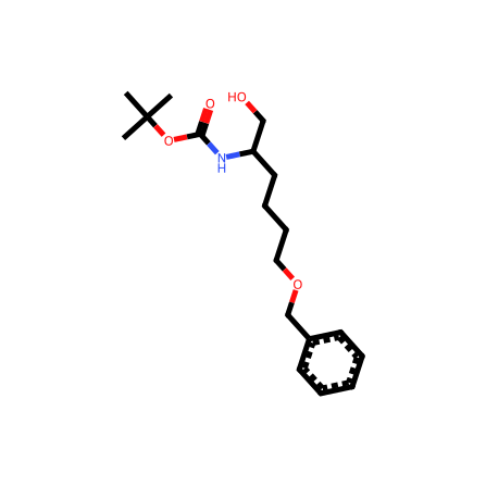 CC(C)(C)OC(=O)NC(CO)CCCCOCc1ccccc1